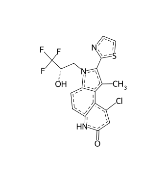 Cc1c(-c2nccs2)n(C[C@H](O)C(F)(F)F)c2ccc3[nH]c(=O)cc(Cl)c3c12